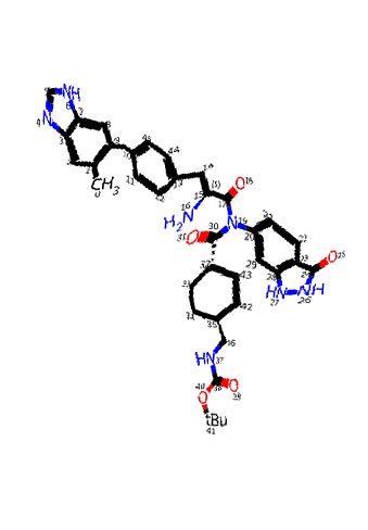 Cc1cc2nc[nH]c2cc1-c1ccc(C[C@H](N)C(=O)N(c2ccc3c(=O)[nH][nH]c3c2)C(=O)[C@H]2CC[C@H](CNC(=O)OC(C)(C)C)CC2)cc1